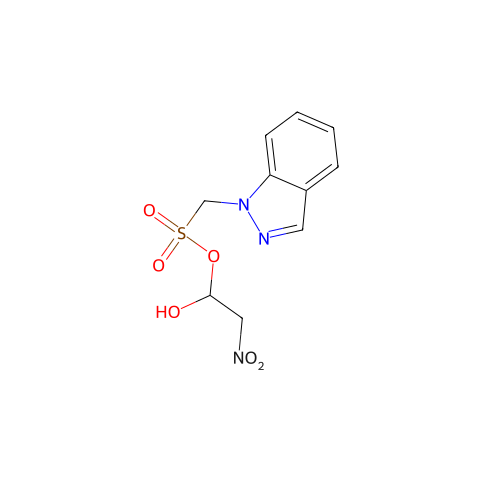 O=[N+]([O-])CC(O)OS(=O)(=O)Cn1ncc2ccccc21